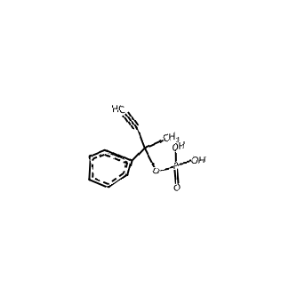 C#CC(C)(OP(=O)(O)O)c1ccccc1